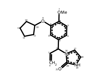 C=CC(c1ccc(OC)c(OC2CCCC2)c1)n1cc[nH]c1=O